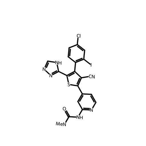 CNC(=O)Nc1cc(-c2sc(-c3nnc[nH]3)c(-c3ccc(Cl)cc3I)c2C#N)ccn1